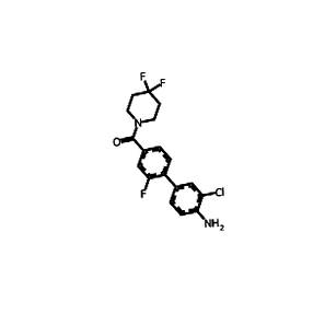 Nc1ccc(-c2ccc(C(=O)N3CCC(F)(F)CC3)cc2F)cc1Cl